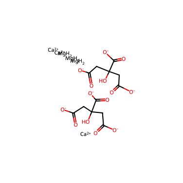 O=C([O-])CC(O)(CC(=O)[O-])C(=O)[O-].O=C([O-])CC(O)(CC(=O)[O-])C(=O)[O-].[Ca+2].[Ca+2].[Ca+2].[MgH2].[MgH2].[MgH2]